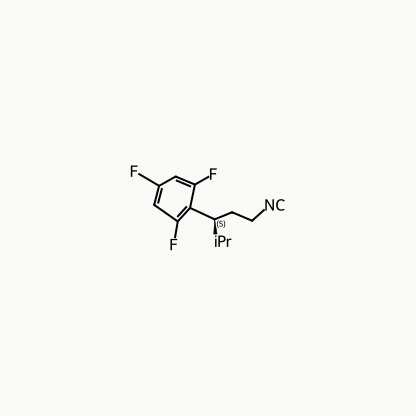 [C-]#[N+]CC[C@H](c1c(F)cc(F)cc1F)C(C)C